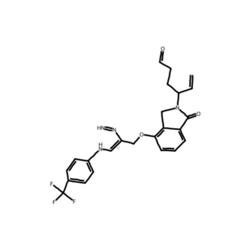 C=CC(CCC=O)N1Cc2c(OC/C(=C/Nc3ccc(C(F)(F)F)cc3)N=N)cccc2C1=O